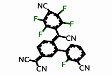 N#CC(C#N)=c1cc/c(=C(/C#N)c2c(F)c(F)c(C#N)c(F)c2F)c(-c2cccc(C#N)c2F)c1